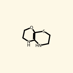 C1COC2=C(N1)NCCS2